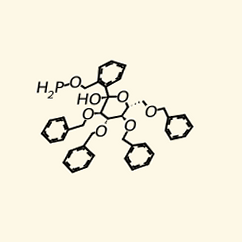 O[C@@]1(c2ccccc2COP)O[C@H](COCc2ccccc2)[C@@H](OCc2ccccc2)[C@H](OCc2ccccc2)[C@H]1OCc1ccccc1